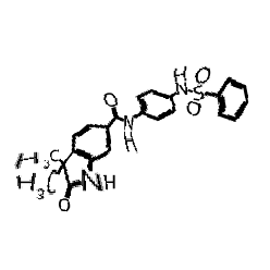 CC1(C)C(=O)Nc2cc(C(=O)Nc3ccc(NS(=O)(=O)c4ccccc4)cc3)ccc21